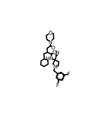 N#CC1(NC(=O)C(CC(=O)N2CCOCC2)CC2CCCCC2)CCN(Cc2cc(F)cc(F)c2)C1